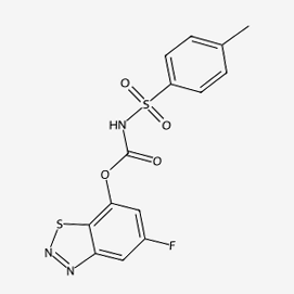 Cc1ccc(S(=O)(=O)NC(=O)Oc2cc(F)cc3nnsc23)cc1